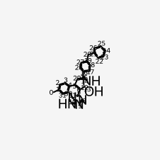 Cc1ccc(C2=C(c3nn[nH]n3)C(O)NC(c3ccc(Cc4ccccc4)cc3)=C2)cc1